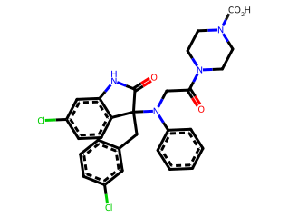 O=C(O)N1CCN(C(=O)CN(c2ccccc2)C2(Cc3cccc(Cl)c3)C(=O)Nc3cc(Cl)ccc32)CC1